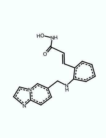 O=C(C=Cc1ccccc1NCc1ccc2nccn2c1)NO